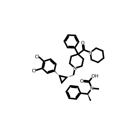 C[C@@H](c1ccccc1)N(C)C(=O)O.O=C(N1CCCCC1)C1(c2ccccc2)CCN(C[C@@H]2C[C@@H]2c2ccc(Cl)c(Cl)c2)CC1